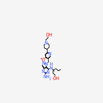 CCC[C@@H](CCO)Nc1nc(N)nc2cnn(Cc3cnc(C4CCN(CCO)CC4)cc3OC)c12